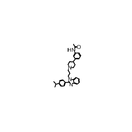 CC(=O)Nc1cccc(C2CCN(CCCn3c(-c4ccc(C(C)C)cc4)nc4ccccc43)CC2)c1